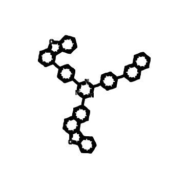 c1ccc2cc(-c3ccc(-c4nc(-c5ccc(-c6cccc7oc8ccccc8c67)cc5)nc(-c5ccc6c(ccc7oc8ccccc8c76)c5)n4)cc3)ccc2c1